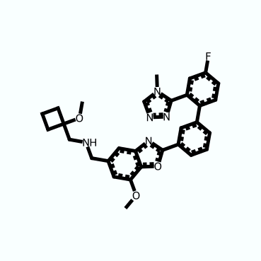 COc1cc(CNCC2(OC)CCC2)cc2nc(-c3cccc(-c4ccc(F)cc4-c4nncn4C)c3)oc12